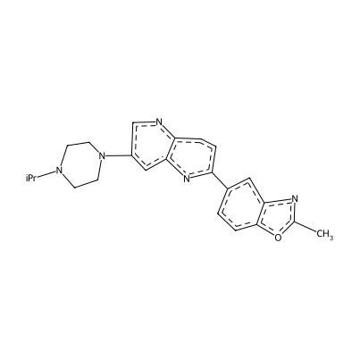 Cc1nc2cc(-c3ccc4ncc(N5CCN(C(C)C)CC5)cc4n3)ccc2o1